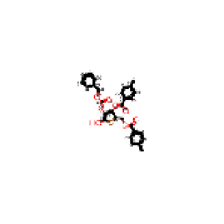 Cc1ccc(C(=O)OC[C@H]2SC(O)[C@H](OC(=O)OCc3ccccc3)[C@H]2OC(=O)c2ccc(C)cc2)cc1